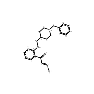 O=C(/C=N/O)c1cccnc1OCC1CCN(Cc2ccccc2)CC1